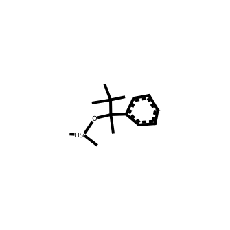 C[SiH](C)OC(C)(c1cc[c]cc1)C(C)(C)C